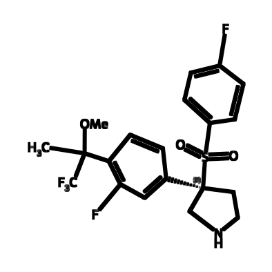 COC(C)(c1ccc([C@]2(S(=O)(=O)c3ccc(F)cc3)CCNC2)cc1F)C(F)(F)F